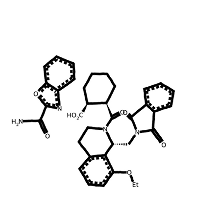 CCOc1cccc2c1[C@@H](CN1C(=O)c3ccccc3C1=O)N(C(=O)[C@@H]1CCCC[C@@H]1C(=O)O)CC2.NC(=O)c1nc2ccccc2o1